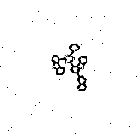 c1ccc(-c2nc(-c3cccc4sc5ccccc5c34)nc(-c3ccc(-c4ccc5ccccc5c4)c4oc5ccccc5c34)n2)cc1